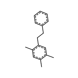 Cc1cc(C)c(CCc2ccccc2)cc1C